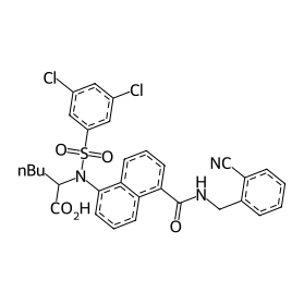 CCCCC(C(=O)O)N(c1cccc2c(C(=O)NCc3ccccc3C#N)cccc12)S(=O)(=O)c1cc(Cl)cc(Cl)c1